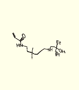 C=CC(=O)NCCC(C)(C)CCNCC(O)(CC)C(C)C